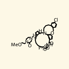 COCCN1CCN(C[C@H]2CCC[C@H](C)[C@@H](C)S(=O)(=O)NC(=O)c3ccc4c(c3)N(CCCCc3cc(Cl)ccc3CO4)C[C@@H]3CC[C@@H]23)CC1=O